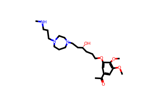 CNCCCN1CCCN(CC[C@H](O)CCCOc2cc(C(C)=O)cc(OC)c2OC)CC1